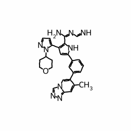 Cc1cc2nncn2cc1-c1cccc(-c2cc(-c3ccnn3C3CCOCC3)c(/C(N)=N\C=N)[nH]2)c1